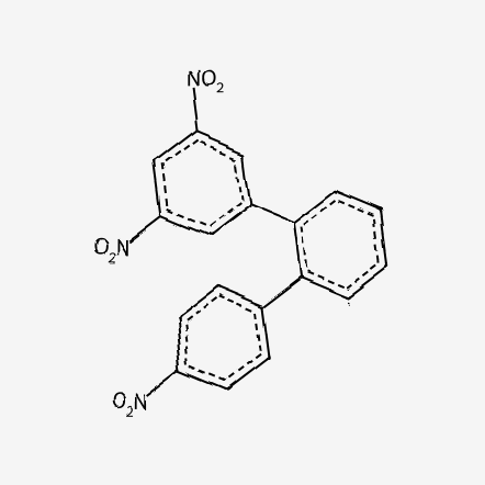 O=[N+]([O-])c1ccc(-c2[c]cccc2-c2cc([N+](=O)[O-])cc([N+](=O)[O-])c2)cc1